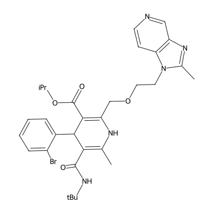 CC1=C(C(=O)NC(C)(C)C)C(c2ccccc2Br)C(C(=O)OC(C)C)=C(COCCn2c(C)nc3cnccc32)N1